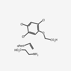 C=CCCCCC.NCCC(=O)O.O=C(O)COc1cc(Cl)c(Cl)cc1Cl